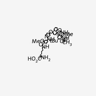 COc1cc(Nc2cc(Oc3ccc(N(C(N)=O)c4cc(C(C)(C)C)cc(NS(C)(=O)=O)c4OC)c4ccccc34)ccn2)ccc1C(=O)NCCCCC[C@@H](N)C(=O)O